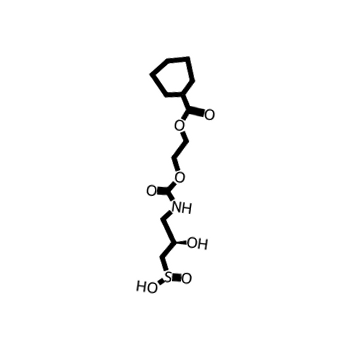 O=C(NC[C@@H](O)CS(=O)O)OCCOC(=O)C1CCCCC1